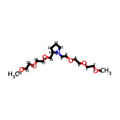 COCCOCCOCCN1CCCC1COCCOCCOC